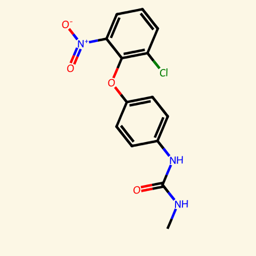 CNC(=O)Nc1ccc(Oc2c(Cl)cccc2[N+](=O)[O-])cc1